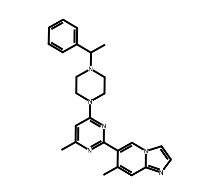 Cc1cc(N2CCN(C(C)c3ccccc3)CC2)nc(-c2cn3ccnc3cc2C)n1